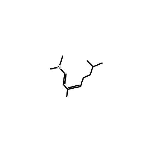 CC(C=CN(C)C)=CCCC(C)C